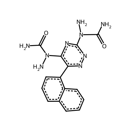 NC(=O)N(N)c1nnc(-c2cccc3ccccc23)c(N(N)C(N)=O)n1